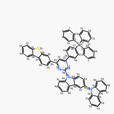 c1ccc([Si](c2ccccc2)(c2ccccc2)c2ccc(-c3cc(-c4ccc5c(c4)sc4ccccc45)nc(-n4c5ccccc5c5cc(-n6c7ccccc7c7ccccc76)ccc54)n3)cc2)cc1